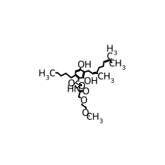 CCCCCc1cc(O)c(CC=C(C)CCC=C(C)C)c(O)c1S(=O)(=O)NC(=O)COCCOC